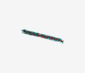 FC(F)=C(F)OC(F)(F)C(F)(F)C(F)(F)C(F)(F)C(F)(F)C(F)(F)C(F)(F)C(F)(F)C(F)(F)C(F)(F)C(F)(F)C(F)(F)C(F)(F)C(F)(F)C(F)(F)C(F)(F)C(F)(F)C(F)(F)C(F)(F)C(F)(F)C(F)(F)C(F)(F)C(F)(F)C(F)(F)C(F)(F)C(F)(F)C(F)(F)C(F)(F)C(F)(F)C(F)(F)C(F)(F)C(F)(F)C(F)(F)C(F)(F)C(F)(F)C(F)(F)C(F)(F)C(F)(F)C(F)(F)C(F)(F)C(F)=C(F)F